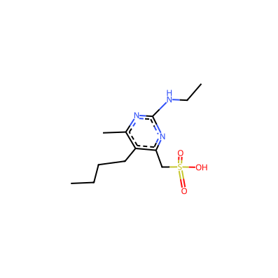 CCCCc1c(C)nc(NCC)nc1CS(=O)(=O)O